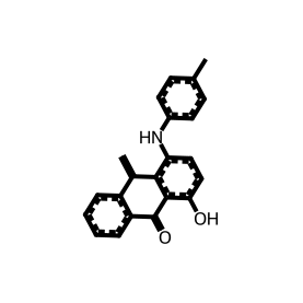 C=C1c2ccccc2C(=O)c2c(O)ccc(Nc3ccc(C)cc3)c21